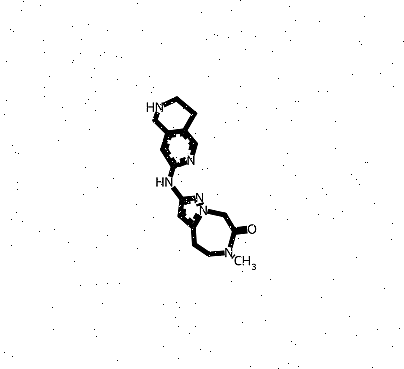 CN1CCc2cc(Nc3cc4c(cn3)CCNC4)nn2CC1=O